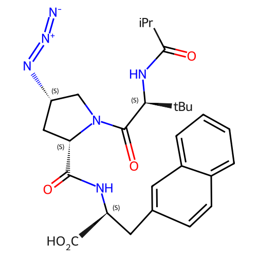 CC(C)C(=O)N[C@H](C(=O)N1C[C@@H](N=[N+]=[N-])C[C@H]1C(=O)N[C@@H](Cc1ccc2ccccc2c1)C(=O)O)C(C)(C)C